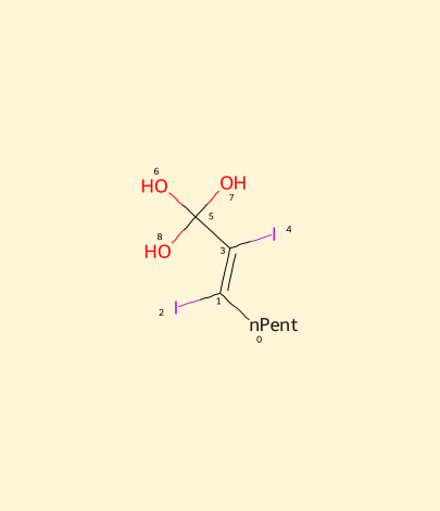 CCCCCC(I)=C(I)C(O)(O)O